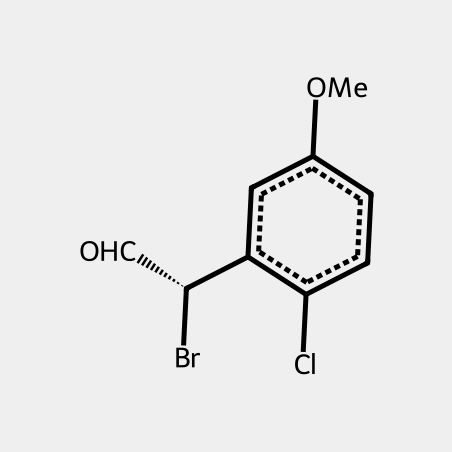 COc1ccc(Cl)c([C@H](Br)C=O)c1